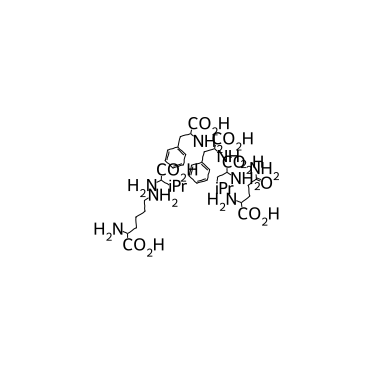 CC(C)C(N)C(=O)O.CC(C)CC(N)C(=O)O.NC(=O)CCC(N)C(=O)O.NC(Cc1ccccc1)C(=O)O.NC(Cc1ccccc1)C(=O)O.NCCCCC(N)C(=O)O